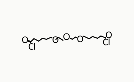 O=C(Cl)CCCCCOCCOCCOCCCCCC(=O)Cl